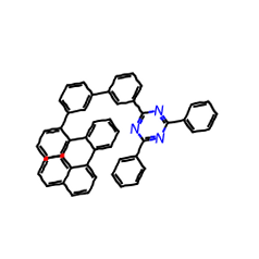 c1ccc(-c2nc(-c3ccccc3)nc(-c3cccc(-c4cccc(-c5ccccc5-c5ccccc5-c5cccc6ccccc56)c4)c3)n2)cc1